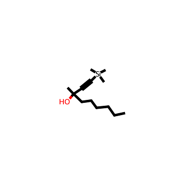 CCCCCCC(C)(O)C#C[Si](C)(C)C